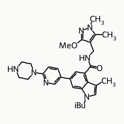 CCC(C)n1cc(C)c2c(C(=O)NCc3c(OC)nn(C)c3C)cc(-c3ccc(N4CCNCC4)nc3)cc21